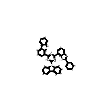 c1ccc(-c2nc3cccc(-c4nc(-c5cccc6c5oc5ccccc56)nc(-n5c6ccccc6c6ccccc65)n4)c3s2)cc1